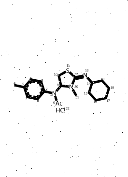 CC(=O)N(c1ccc(C)cc1)C1CSC(=NC2CCCCC2)N1C.Cl